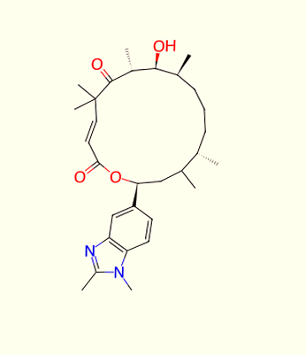 Cc1nc2cc([C@@H]3CC(C)[C@@H](C)CCC[C@H](C)[C@H](O)[C@@H](C)C(=O)C(C)(C)/C=C/C(=O)O3)ccc2n1C